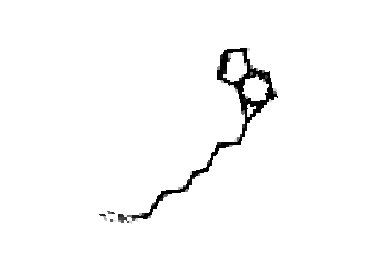 CCCCCCCCCCCCCCCCCC1c2ccc3c(c21)C=C[CH]3